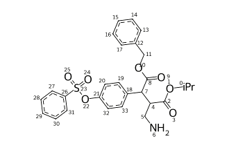 CC(C)OC(=O)C(CN)C(C(=O)OCc1ccccc1)c1ccc(OS(=O)(=O)c2ccccc2)cc1